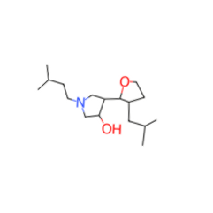 CC(C)CCN1CC(O)C(C2OCCC2CC(C)C)C1